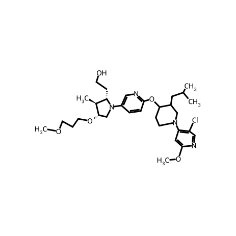 COCCCO[C@H]1CN(c2ccc(OC3CCN(c4cc(OC)ncc4Cl)CC3CC(C)C)nc2)[C@@H](CCO)[C@@H]1C